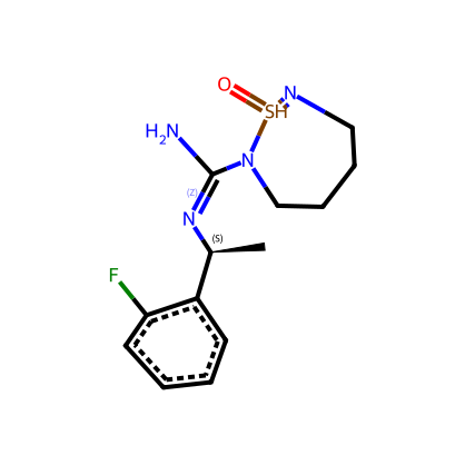 C[C@H](/N=C(/N)N1CCCCN=[SH]1=O)c1ccccc1F